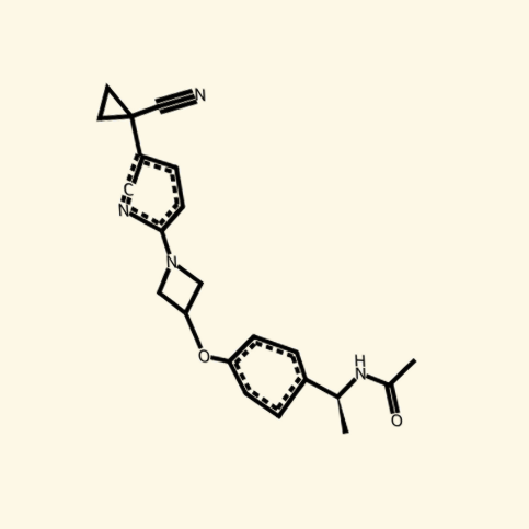 CC(=O)N[C@@H](C)c1ccc(OC2CN(c3ccc(C4(C#N)CC4)cn3)C2)cc1